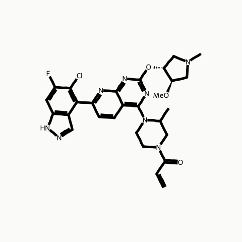 C=CC(=O)N1CCN(c2nc(O[C@@H]3CN(C)C[C@H]3OC)nc3nc(-c4c(Cl)c(F)cc5[nH]ncc45)ccc23)C(C)C1